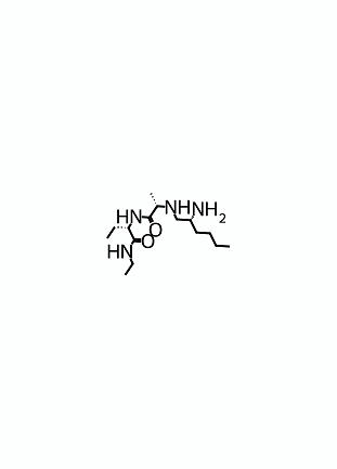 CCCC[C@@H](N)CN[C@@H](C)C(=O)N[C@@H](CC)C(=O)NCC